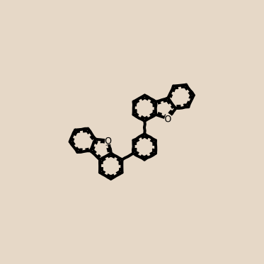 c1cc(-c2cccc3c2oc2ccccc23)cc(-c2cccc3c2oc2ccccc23)c1